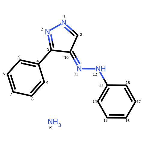 C1=NN=C(c2ccccc2)C1=NNc1ccccc1.N